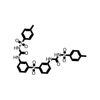 Cc1ccc(S(=O)(=O)NC(=O)Nc2cccc(S(=O)(=O)c3cccc(NC(=O)NS(=O)(=O)c4ccc(C)cc4)c3)c2)cc1